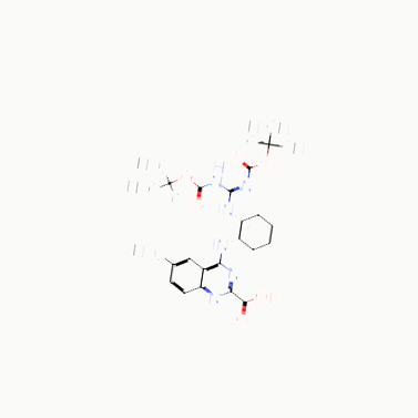 Cc1ccc2nc(C(=O)O)nc(N[C@H]3CCCC[C@H]3N/C(=N/C(=O)OC(C)(C)C)NC(=O)OC(C)(C)C)c2c1